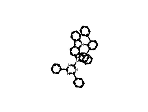 c1ccc(-c2nc(-c3ccccc3)nc(-n3c4ccccc4c4c3ccc3c5ccccc5n(-c5c(-c6ccccc6)cccc5-c5ccccc5)c34)n2)cc1